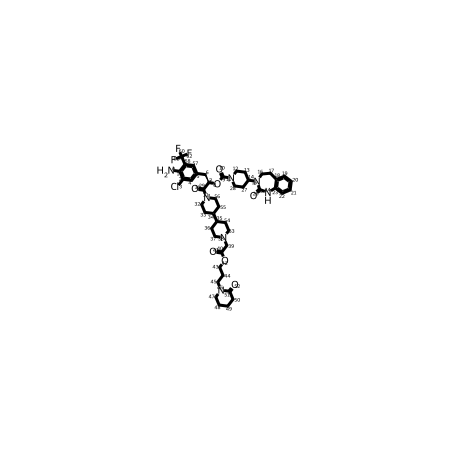 Nc1c(Cl)cc(C[C@@H](OC(=O)N2CCC(N3CCc4ccccc4NC3=O)CC2)C(=O)N2CCC(C3CCN(CC(=O)OCCCN4CCCCC4=O)CC3)CC2)cc1C(F)(F)F